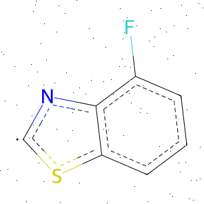 Fc1cccc2s[c]nc12